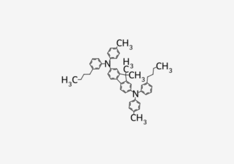 CCCCc1cccc(N(c2ccc(C)cc2)c2ccc3c(c2)C(C)(C)c2cc(N(c4ccc(C)cc4)c4cccc(CCCC)c4)ccc2-3)c1